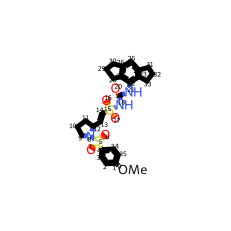 COc1ccc(S(=O)(=O)N2CCCC2/C=C/S(=O)(=O)NC(=O)Nc2c3c(cc4c2CCC4)CCC3)cc1